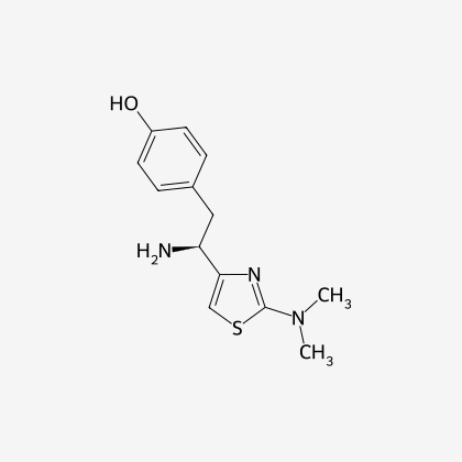 CN(C)c1nc([C@@H](N)Cc2ccc(O)cc2)cs1